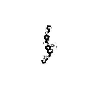 Cc1c(NC(=O)c2ccc(OCC3CCCO3)cc2)ccc2cc(CNCC3CCCO3)cnc12